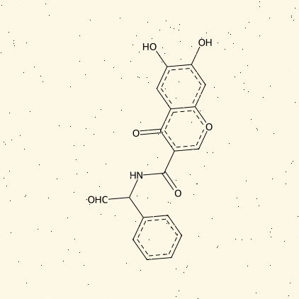 O=[C]C(NC(=O)c1coc2cc(O)c(O)cc2c1=O)c1ccccc1